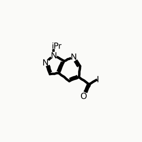 CC(C)n1ncc2cc(C(=O)I)cnc21